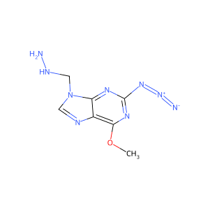 COc1nc(N=[N+]=[N-])nc2c1ncn2CNN